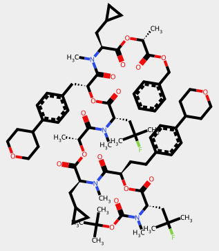 C[C@@H](OC(=O)[C@H](CC1CC1)N(C)C(=O)[C@@H](Cc1ccc(C2CCOCC2)cc1)OC(=O)[C@H](CC(C)(C)F)N(C)C(=O)[C@@H](C)OC(=O)[C@H](CC1CC1)N(C)C(=O)[C@@H](CCc1ccc(C2CCOCC2)cc1)OC(=O)[C@H](CC(C)(C)F)N(C)C(=O)OC(C)(C)C)C(=O)OCc1ccccc1